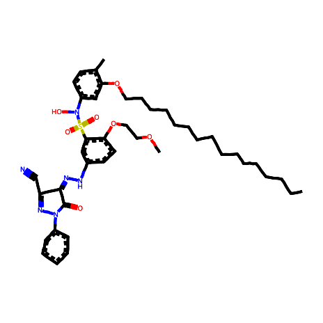 CCCCCCCCCCCCCCCCOc1cc(N(O)S(=O)(=O)c2cc(NN=C3C(=O)N(c4ccccc4)N=C3C#N)ccc2OCCOC)ccc1C